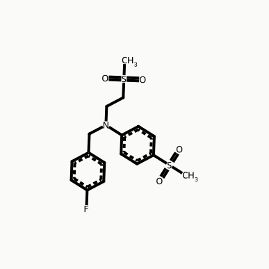 CS(=O)(=O)CCN(Cc1ccc(F)cc1)c1ccc(S(C)(=O)=O)cc1